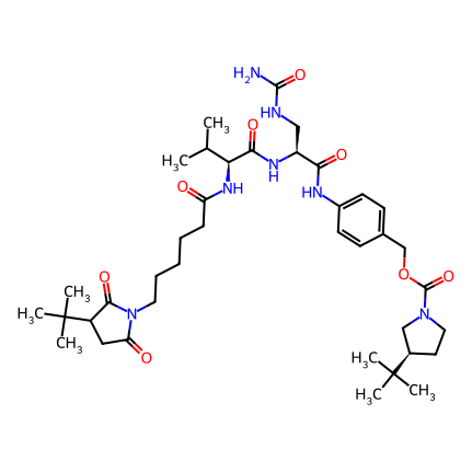 CC(C)[C@H](NC(=O)CCCCCN1C(=O)CC(C(C)(C)C)C1=O)C(=O)N[C@@H](CNC(N)=O)C(=O)Nc1ccc(COC(=O)N2CC[C@@H](C(C)(C)C)C2)cc1